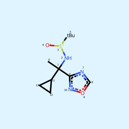 CC(N[S+]([O-])C(C)(C)C)(c1ncon1)C1CC1